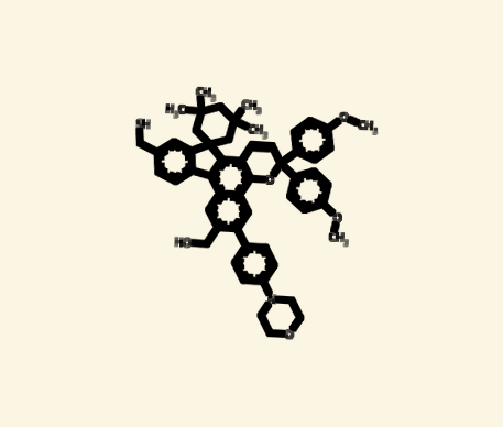 COc1ccc(C2(c3ccc(OC)cc3)C=Cc3c4c(c5cc(CO)c(-c6ccc(N7CCOCC7)cc6)cc5c3O2)-c2ccc(CS)cc2C42CC(C)(C)CC(C)(C)C2)cc1